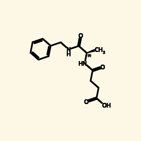 C[C@@H](NC(=O)CCC(=O)O)C(=O)NCc1ccccc1